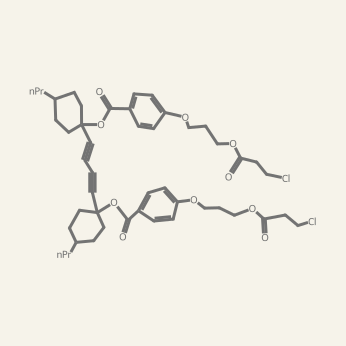 CCCC1CCC(C#CC#CC2(OC(=O)c3ccc(OCCCOC(=O)CCCl)cc3)CCC(CCC)CC2)(OC(=O)c2ccc(OCCCOC(=O)CCCl)cc2)CC1